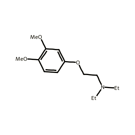 CCN(CC)CCOc1ccc(OC)c(OC)c1